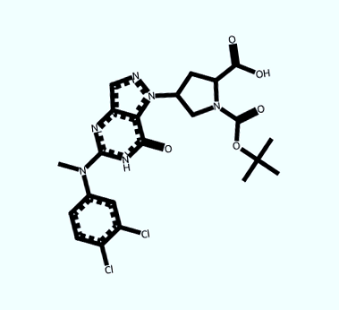 CN(c1ccc(Cl)c(Cl)c1)c1nc2cnn(C3CC(C(=O)O)N(C(=O)OC(C)(C)C)C3)c2c(=O)[nH]1